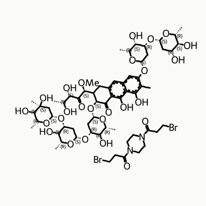 CO[C@H](C(=O)[C@@H](O)[C@@H](C)O)C1Cc2cc3cc(O[C@H]4C[C@@H](O[C@H]5C[C@@H](O)[C@H](O)[C@@H](C)O5)[C@@H](O)[C@@H](C)O4)c(C)c(O)c3c(O)c2C(=O)[C@H]1O[C@H]1C[C@@H](O[C@H]2C[C@@H](O[C@H]3C[C@](C)(O)[C@H](O)[C@@H](C)O3)[C@H](O)[C@@H](C)O2)[C@H](O)[C@@H](C)O1.O=C(CCBr)N1CCN(C(=O)CCBr)CC1